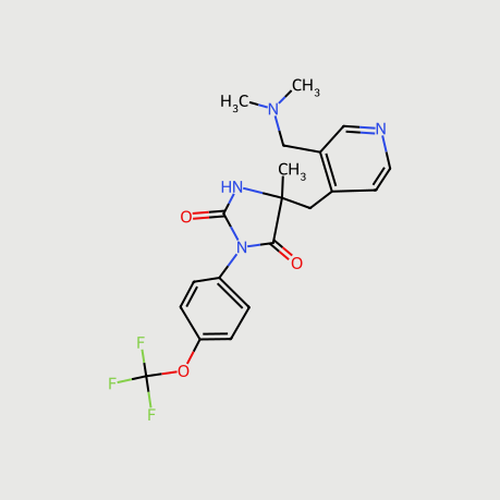 CN(C)Cc1cnccc1CC1(C)NC(=O)N(c2ccc(OC(F)(F)F)cc2)C1=O